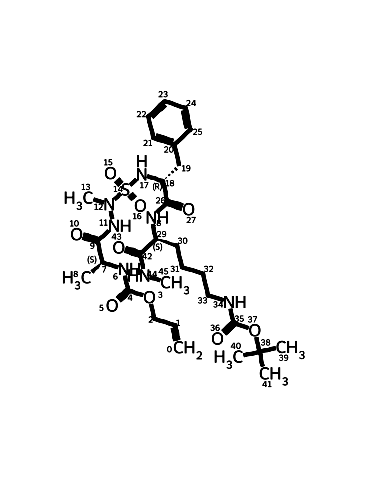 C=CCOC(=O)N[C@@H](C)C(=O)NN(C)S(=O)(=O)N[C@H](Cc1ccccc1)C(=O)N[C@@H](CCCCNC(=O)OC(C)(C)C)C(=O)NC